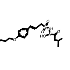 CCCCOc1ccc(C=CCS(=O)(=O)NN(O)C(=O)CC(C)C)cc1